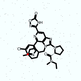 CCN(C)C(=O)[C@H]1CCCN1c1nc2cc(-c3noc(=O)[nH]3)nc(-c3cncc(Cl)c3)c2n1CC1CCC(C)CC1